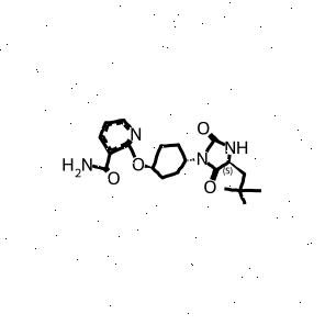 CC(C)(C)C[C@@H]1NC(=O)N([C@H]2CC[C@H](Oc3ncccc3C(N)=O)CC2)C1=O